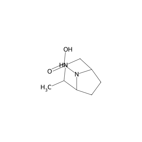 CC1NCC2CCC1N2C(=O)O